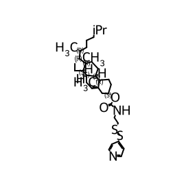 CC(C)CCC[C@@H](C)[C@H]1CC[C@H]2[C@@H]3CC=C4C[C@@H](OC(=O)NCCSSc5ccncc5)CC[C@]4(C)[C@H]3CC[C@]12C